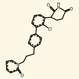 O=C1CCC(c2cccc(-c3ccc(CCCn4ccccc4=O)cc3)c2Cl)C(=O)N1